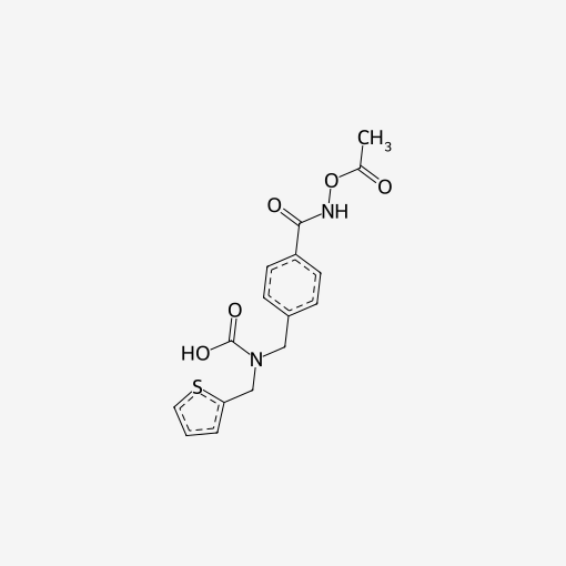 CC(=O)ONC(=O)c1ccc(CN(Cc2cccs2)C(=O)O)cc1